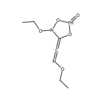 CCON=C=C1O[PH](=O)ON1OCC